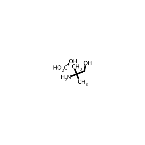 CC(C)(N)CO.O=C(O)O